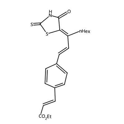 CCCCCCC(C=Cc1ccc(/C=C/C(=O)OCC)cc1)=C1SC(=S)NC1=O